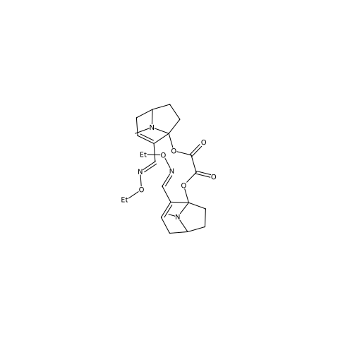 CCON=CC1=CCC2CCC1(OC(=O)C(=O)OC13CCC(CC=C1C=NOCC)N3C)N2C